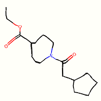 CCOC(=O)C1CCN(C(=O)CC2CCCC2)CC1